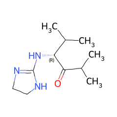 CC(C)C(=O)[C@H](NC1=NCCN1)C(C)C